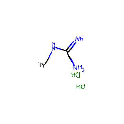 CC(C)NC(=N)N.Cl.Cl